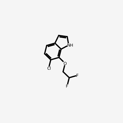 FC(F)COc1c(Cl)ccc2cc[nH]c12